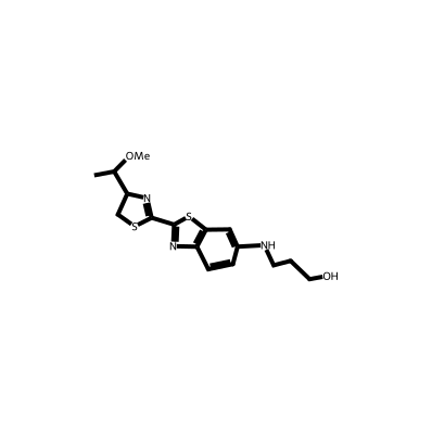 COC(C)C1CSC(c2nc3ccc(NCCCO)cc3s2)=N1